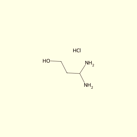 Cl.NC(N)CCO